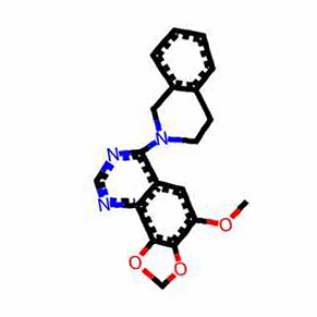 COc1cc2c(N3CCc4ccccc4C3)ncnc2c2c1OCO2